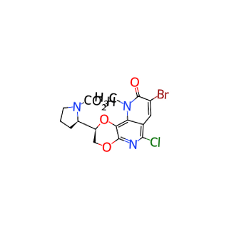 Cn1c(=O)c(Br)cc2c(Cl)nc3c(c21)O[C@H]([C@H]1CCCN1C(=O)O)CO3